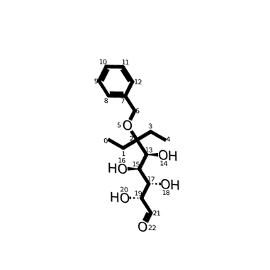 CCC(CC)(OCc1ccccc1)[C@@H](O)[C@H](O)[C@H](O)[C@@H](O)C=O